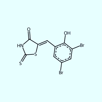 O=C1NC(=S)S/C1=C\c1cc(Br)cc(Br)c1O